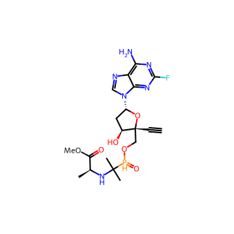 C#C[C@]1(CO[PH](=O)C(C)(C)N[C@@H](C)C(=O)OC)O[C@@H](n2cnc3c(N)nc(F)nc32)C[C@@H]1O